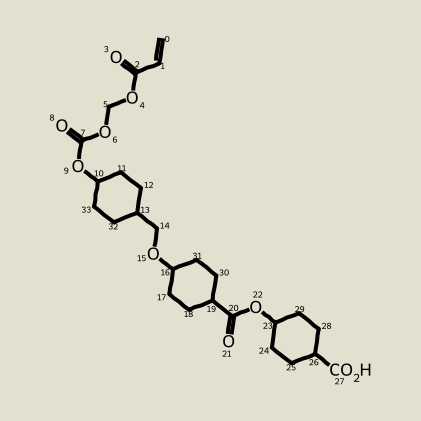 C=CC(=O)OCOC(=O)OC1CCC(COC2CCC(C(=O)OC3CCC(C(=O)O)CC3)CC2)CC1